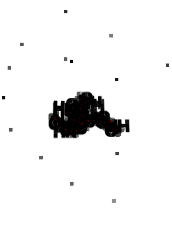 C=C(C)C(=O)Nc1ccc(OC(=O)NC(C)(C)CCOC(C)(C)CC(CC(C)(C)OCC)(CC(C)(C)OCCC(C)(C)NC(=O)Oc2ccc(NC(=O)C(=C)C)cc2)CC(C)(C)OCCC(C)(C)NC(=O)Oc2ccc(NC(=O)C(=C)C)cc2)cc1